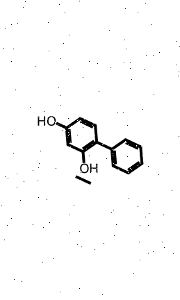 CC.Oc1ccc(-c2ccccc2)c(O)c1